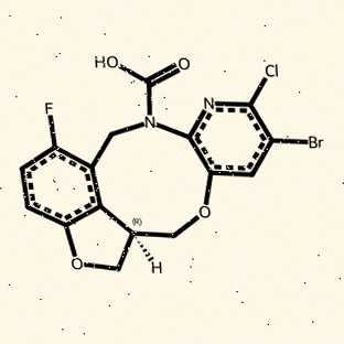 O=C(O)N1Cc2c(F)ccc3c2[C@@H](COc2cc(Br)c(Cl)nc21)CO3